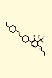 CC/C=C/c1ccc(C2CCC(CCC3CCC(CC)CC3)CC2)c(F)c1C(F)(F)F